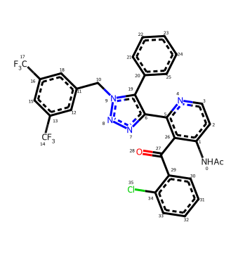 CC(=O)Nc1ccnc(-c2nnn(Cc3cc(C(F)(F)F)cc(C(F)(F)F)c3)c2-c2ccccc2)c1C(=O)c1ccccc1Cl